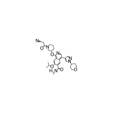 CC(C)Oc1cc2c(OC3CCCN(C(=O)CC#N)C3)ncc(-c3cnn(C4CCOCC4)c3)c2cc1C(N)=O